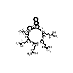 C[C@H](OP(=O)(O)O)C1NC(=O)[C@@H](CCCNC(=N)N)NC(=O)[C@@H](CCCNC(=N)N)NC(=O)C(CCCNC(=N)N)NC(=O)C(CCCNC(=N)N)NC(=O)C(Cc2ccc3ccccc3c2)NC(=O)C2CCCCN2C1=O